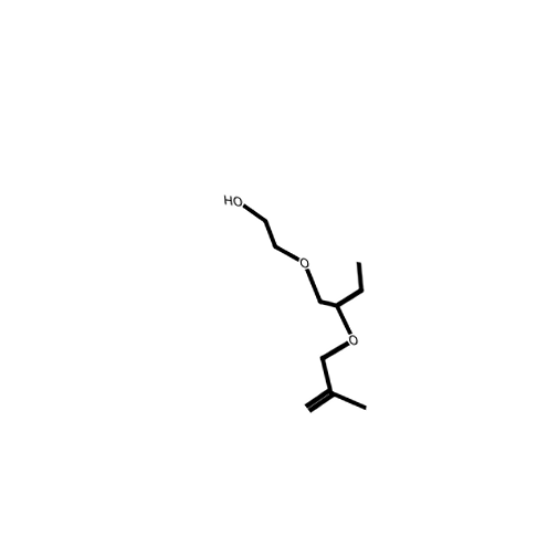 C=C(C)COC(CC)COCCO